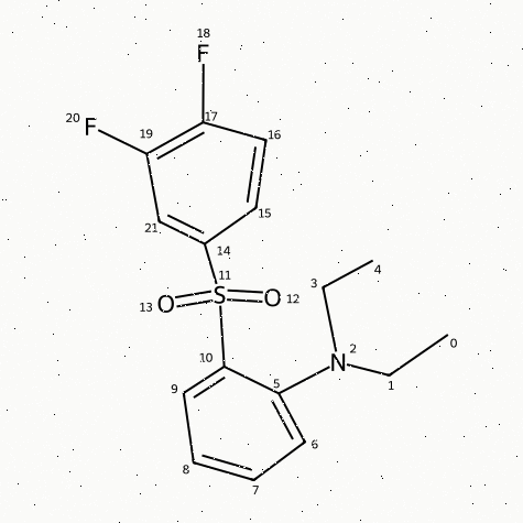 CCN(CC)c1ccccc1S(=O)(=O)c1ccc(F)c(F)c1